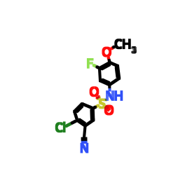 COc1ccc(NS(=O)(=O)c2ccc(Cl)c(C#N)c2)cc1F